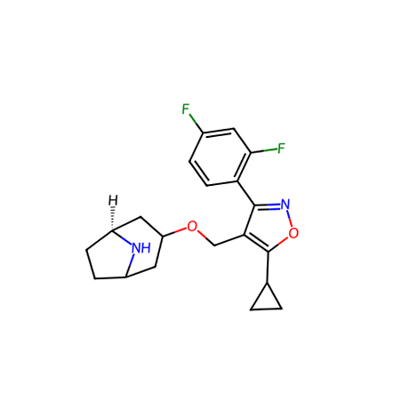 Fc1ccc(-c2noc(C3CC3)c2COC2CC3CC[C@@H](C2)N3)c(F)c1